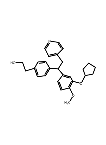 COc1ccc(C(Cc2ccncc2)c2ccc(CCO)cc2)cc1OC1CCCC1